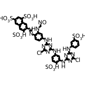 O=NCNc1cc(Nc2nc(Cl)nc(Nc3ccc(S(=O)(=O)O)c(Nc4nc(Cl)nc(Nc5cccc(S(=O)(=O)O)c5)n4)c3)n2)ccc1N=Nc1cc2c(S(=O)(=O)O)cc(S(=O)(=O)O)cc2cc1S(=O)(=O)O